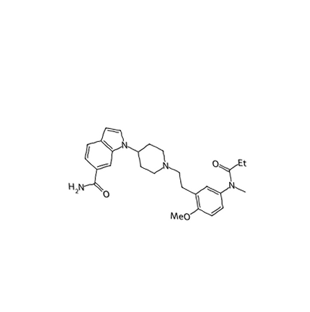 CCC(=O)N(C)c1ccc(OC)c(CCN2CCC(n3ccc4ccc(C(N)=O)cc43)CC2)c1